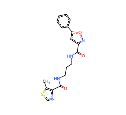 Cc1scnc1C(=O)NCCCNC(=O)c1cc(-c2ccccc2)on1